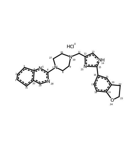 Cl.c1ccc2nc(N3CCN(Cc4c[nH]c(-c5ccc6c(c5)CCO6)n4)CC3)ncc2c1